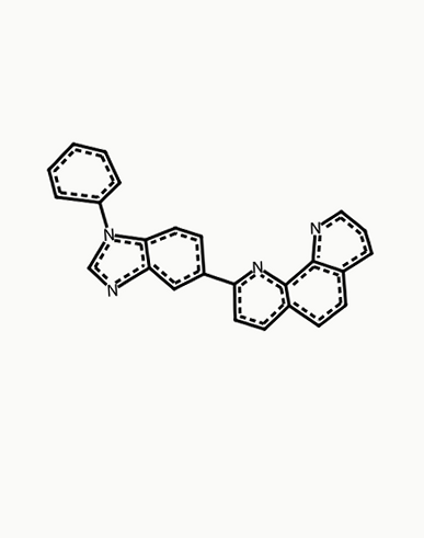 c1ccc(-n2cnc3cc(-c4ccc5ccc6cccnc6c5n4)ccc32)cc1